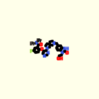 CC(C)N(C(=O)c1cc(F)ccc1Oc1cncnc1N1CCC2(CCN(Cc3ccc4c(c3)[nH]c(=O)n4CCO)C2)C1)C(C)C